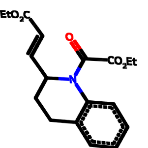 CCOC(=O)C=CC1CCc2ccccc2N1C(=O)C(=O)OCC